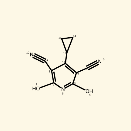 N#Cc1c(O)nc(O)c(C#N)c1C1CC1